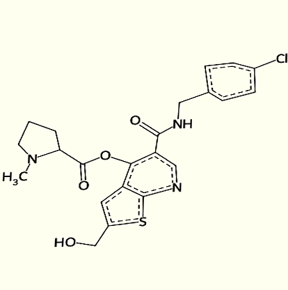 CN1CCCC1C(=O)Oc1c(C(=O)NCc2ccc(Cl)cc2)cnc2sc(CO)cc12